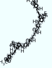 CS(=O)(=O)c1ccc(NCC#Cc2cc3c(NC4CCN(CC(=O)NCCCCCNC(=O)CN5CCC(Nc6cccc7c6cc(C#CCNc6ccc(S(C)(=O)=O)cc6)n7CC(F)(F)F)CC5)CC4)cccc3n2CC(F)(F)F)cc1